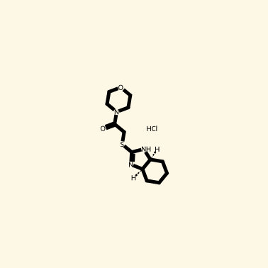 Cl.O=C(CSC1=N[C@@H]2CCCC[C@@H]2N1)N1CCOCC1